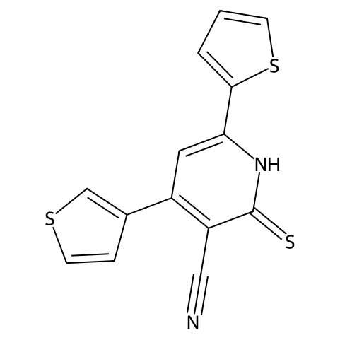 N#Cc1c(-c2ccsc2)cc(-c2cccs2)[nH]c1=S